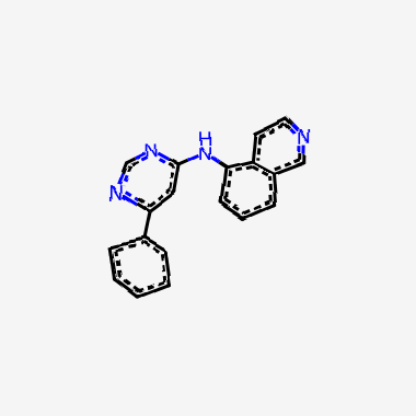 c1ccc(-c2cc(Nc3cccc4cnccc34)ncn2)cc1